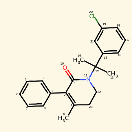 CC1=C(c2ccccc2)C(=O)N(C(C)(C)c2cccc(Cl)c2)CC1